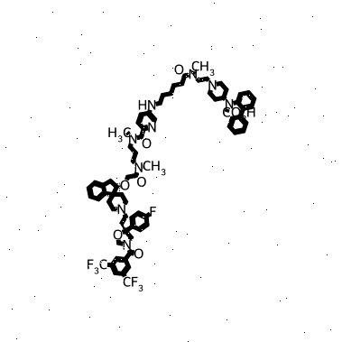 CN(CCN1CCC(N(C(=O)O)c2ccccc2-c2ccccc2)CC1)C(=O)CCCCCNc1ccc(C(=O)N(C)CCCN(C)C(=O)CO[C@H]2Cc3ccccc3C23CCN(CC[C@@]2(c4ccc(F)cc4)CN(C(=O)c4cc(C(F)(F)F)cc(C(F)(F)F)c4)CO2)CC3)nc1